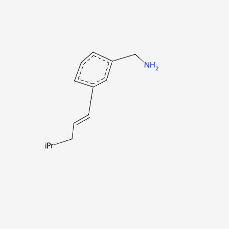 CC(C)CC=Cc1cccc(CN)c1